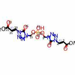 COC(=O)/C=C/n1nnn(COP(=O)(O)OCn2nnn(/C=C/C(=O)OC)c2=O)c1=O